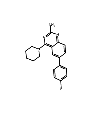 Nc1nc(N2CCCCC2)c2cc(-c3ccc(F)cc3)ccc2n1